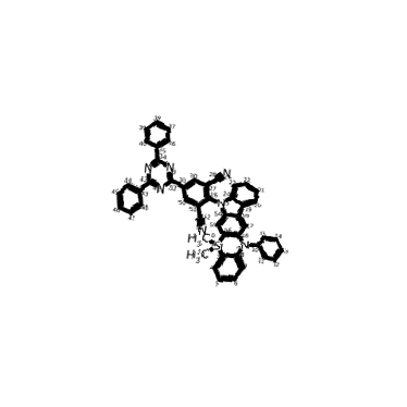 C[Si]1(C)c2ccccc2N(c2ccccc2)c2cc3c4ccccc4n(-c4c(C#N)cc(-c5nc(-c6ccccc6)nc(-c6ccccc6)n5)cc4C#N)c3cc21